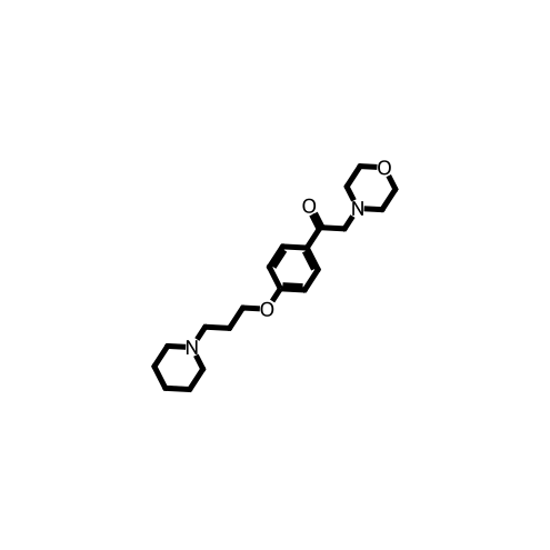 O=C(CN1CCOCC1)c1ccc(OCCCN2CCCCC2)cc1